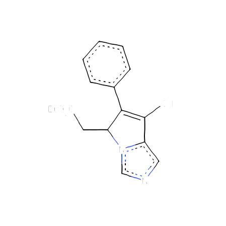 CCOC(=O)CC1C(c2ccccc2)=C(C)c2cncn21